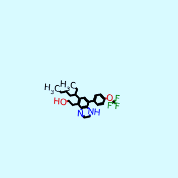 CCCCC(CC)c1cc(-c2ccc(OC(F)(F)F)cc2)c2c(c1CCO)N=CCN2